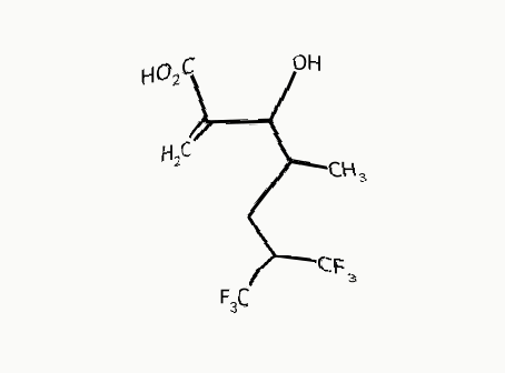 C=C(C(=O)O)C(O)C(C)CC(C(F)(F)F)C(F)(F)F